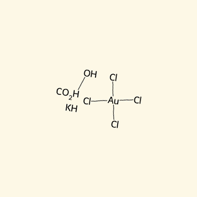 O=C(O)O.[Cl][Au]([Cl])([Cl])[Cl].[KH]